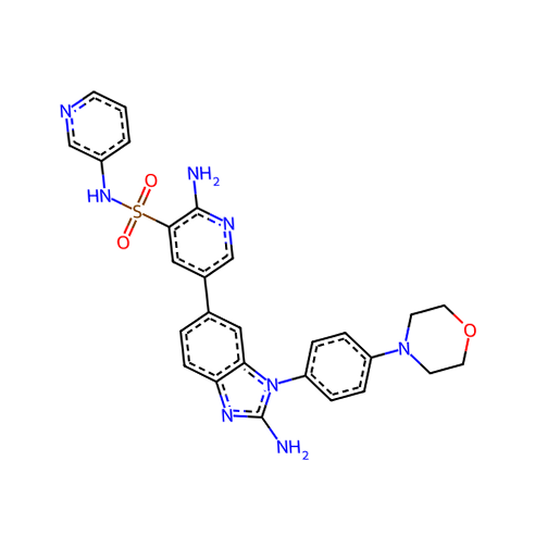 Nc1ncc(-c2ccc3nc(N)n(-c4ccc(N5CCOCC5)cc4)c3c2)cc1S(=O)(=O)Nc1cccnc1